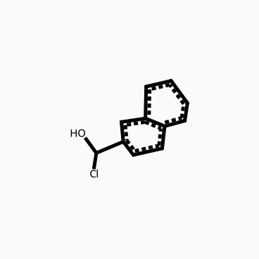 OC(Cl)c1ccc2ccccc2c1